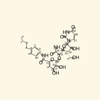 CCCCc1ccc(NC(=O)C2=C[C@H](O)[C@H](O)[C@@H](O[C@@H](C(N)=O)[C@H]3O[C@@H](n4ccc(=O)[nH]c4=O)[C@H](O)[C@@H]3CO)O2)cc1